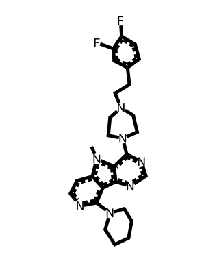 Cn1c2ccnc(N3CCCCC3)c2c2ncnc(N3CCN(CCc4ccc(F)c(F)c4)CC3)c21